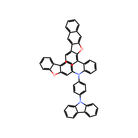 c1ccc(N(c2ccc(-n3c4ccccc4c4ccccc43)cc2)c2ccc3c(c2)oc2ccccc23)c(-c2cccc3c2oc2cc4ccccc4cc23)c1